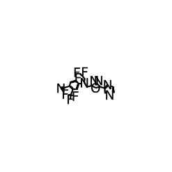 N#Cc1ccc(N(Cc2nnc(-c3cnccn3)o2)CC(F)(F)F)cc1C(F)(F)F